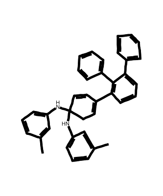 Cc1cccc(NC2(Nc3cccc(C)c3)C=CC(c3cccc(-c4ccccc4)c3-c3ccccc3)=CC2)c1